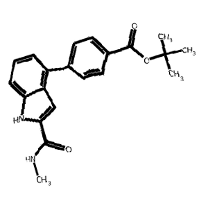 CNC(=O)c1cc2c(-c3ccc(C(=O)OC(C)(C)C)cc3)cccc2[nH]1